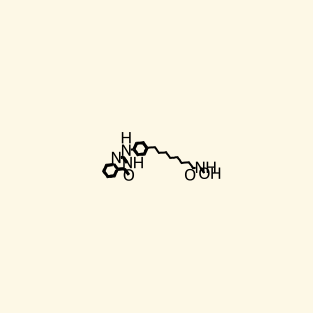 O=C(CCCCCCCc1ccc(Nc2nc3ccccc3c(=O)[nH]2)cc1)NO